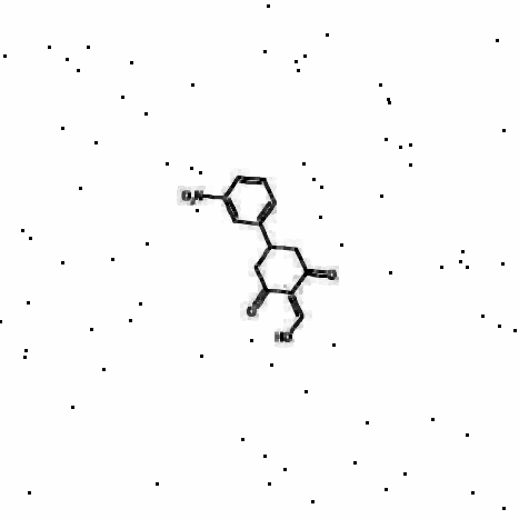 O=C1CC(c2cccc([N+](=O)[O-])c2)CC(=O)C1=CO